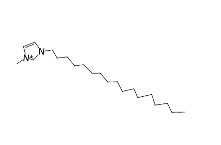 CCCCCCCCCCCCCCCCCn1cc[n+](C)c1